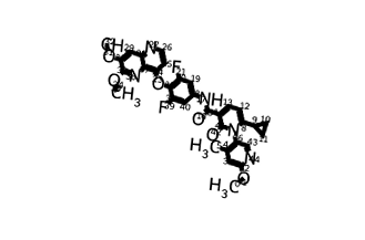 COc1cc(C)c(-n2c(C3CC3)ccc(C(=O)Nc3cc(F)c(Oc4ccnc5cc(OC)c(OC)nc45)c(F)c3)c2=O)cn1